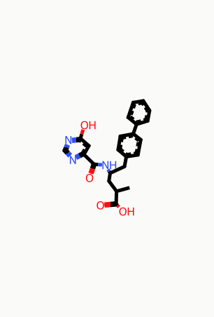 CC(CC(Cc1ccc(-c2ccccc2)cc1)NC(=O)c1cc(O)ncn1)C(=O)O